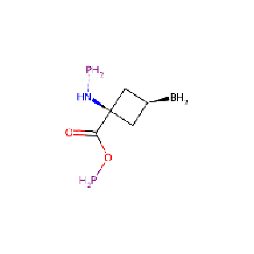 B[C@H]1C[C@](NP)(C(=O)OP)C1